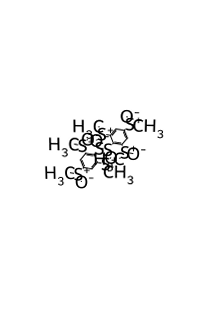 C[S+]([O-])c1cc([S+](C)[O-])c(SSc2c([S+](C)[O-])cc([S+](C)[O-])cc2[S+](C)[O-])c([S+](C)[O-])c1